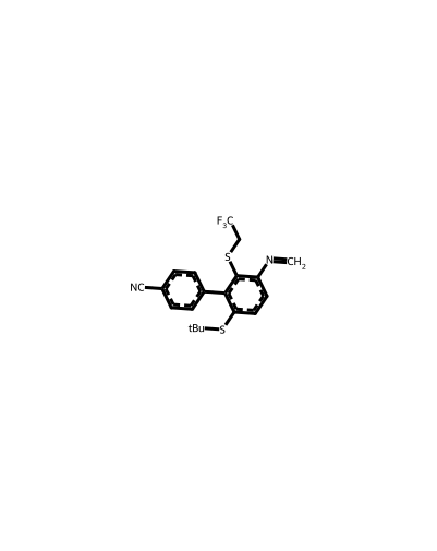 C=Nc1ccc(SC(C)(C)C)c(-c2ccc(C#N)cc2)c1SCC(F)(F)F